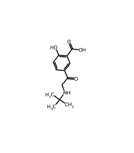 CC(C)(C)NCC(=O)c1ccc(O)c(C(=O)O)c1